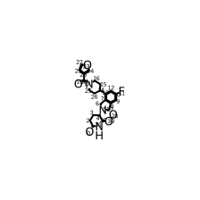 O=C1CCC(N2Cc3c(cc(F)cc3C3CCN(C(=O)c4ccoc4)CC3)C2=O)C(=O)N1